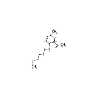 CCCCCCOc1ccc(C)cc1OC